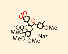 COc1ccc(C(=O)/C(Cc2cc(OC)c(OC)c(OC)c2)=C(/C(=O)[O-])c2ccc3c(c2)OCO3)cc1C.[Na+]